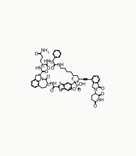 NC(=O)CC[C@H](NC(=O)[C@@H]1Cc2cccc3c2N1C(=O)[C@@H](NC(=O)c1nc2ccc(C(F)(F)P(=O)(O)O)cc2s1)CC3)C(=O)N[C@H](C(=O)NCCCCCCCC#Cc1cccc2c1CN(C1CCC(=O)NC1=O)C2=O)c1ccccc1